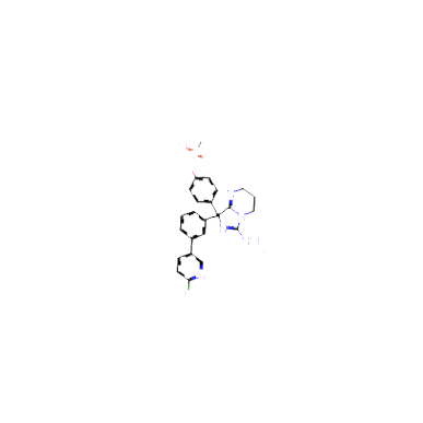 CS(=O)(=O)Oc1ccc(C2(c3cccc(-c4ccc(F)nc4)c3)N=C(N)N3CCCN=C32)cc1